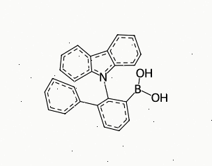 OB(O)c1cccc(-c2ccccc2)c1-n1c2ccccc2c2ccccc21